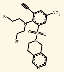 C#Cc1cc([N+](=O)[O-])cc(S(=O)(=O)N2CCc3cnccc3C2)c1N(CCBr)CCBr